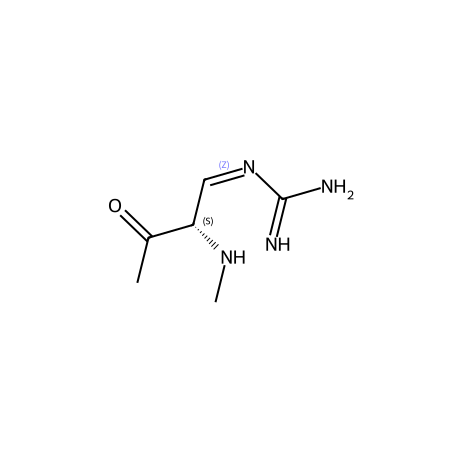 CN[C@@H](/C=N\C(=N)N)C(C)=O